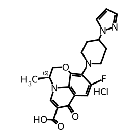 C[C@H]1COc2c(N3CCC(n4cccn4)CC3)c(F)cc3c(=O)c(C(=O)O)cn1c23.Cl